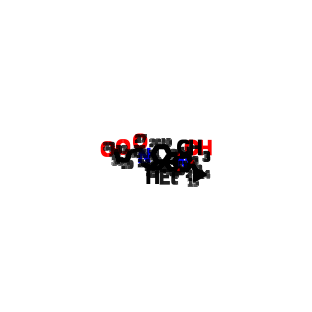 CCc1ccc(O)cc1C12CCN(CC3CC3)C(C)C13CCC1C2[C@@H](CN1C(=O)[C@H]1CCC(=O)O1)C3